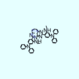 CCNc1cc(N(c2ccccc2)c2ccccc2)ccc1C1=N/C2=C/C=C\C(C)=N\C(c3ccc(N(c4ccccc4)c4ccccc4)cc3NCC)=N/C(=N1)C2